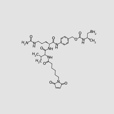 BC[C@@H](C)NC(=O)OCc1ccc(NC(=O)[C@H](CCCNC(N)=O)NC(=O)C(NC(=O)CCCCCN2C(=O)C=CC2=O)C(C)C)cc1